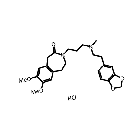 COc1cc2c(cc1OC)CC(=O)N(CCCN(C)CCc1ccc3c(c1)OCO3)CC2.Cl